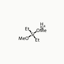 CC[Si](CC)(OC)OC.[SiH4]